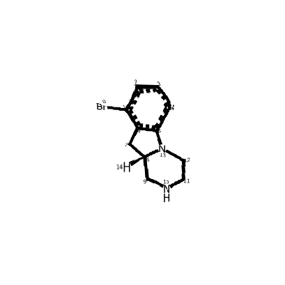 Brc1cccc2c1C[C@H]1CNCCN21